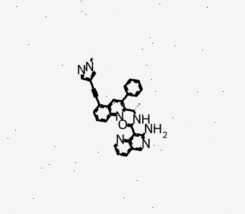 C[C@H](NC(=O)c1c(N)ncc2cccnc12)c1nc2cccc(C#Cc3cnn(C)c3)c2cc1-c1ccccc1